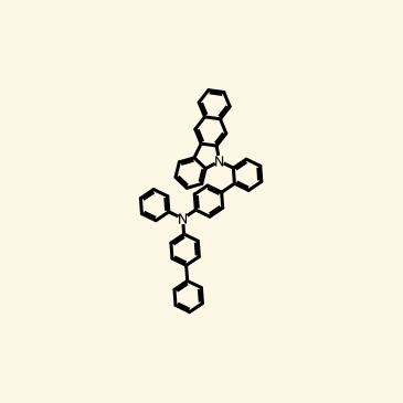 c1ccc(-c2ccc(N(c3ccccc3)c3ccc(-c4ccccc4-n4c5ccccc5c5cc6ccccc6cc54)cc3)cc2)cc1